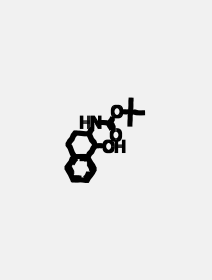 CC(C)(C)OC(=O)NC1CCc2ccccc2C1O